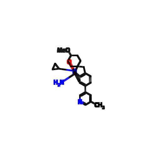 COC1CCC2(CC1)Cc1ccc(-c3cncc(C)c3)cc1C21N=C(N)N(C2CC2)C1=O